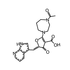 CC(=O)N1CCCN(C2=C(C(=O)O)C(=O)C(=Cc3c[nH]c4ncccc34)O2)CC1